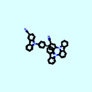 N#Cc1ccc2c(c1)c1ccccc1n2-c1ccc(-c2ccc(-n3c4ccccc4c4cccc(-n5c6ccccc6c6ccccc65)c43)cc2C#N)cc1